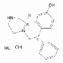 Cl.Cl.Oc1ccc2c(c1)[C@@H]1CNCCN1C[C@H]2c1ccccc1